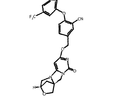 N#Cc1cc(COc2cc3n(c(=O)n2)C[C@]24CO[C@H](CN32)C4)ccc1Oc1cccc(C(F)(F)F)c1